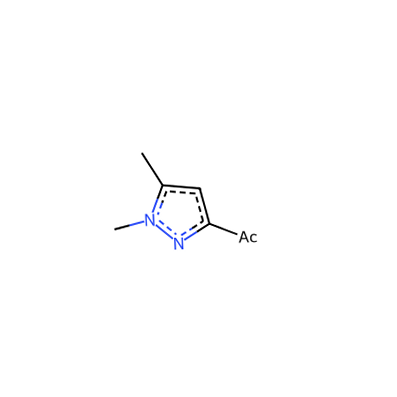 [CH2]C(=O)c1cc(C)n(C)n1